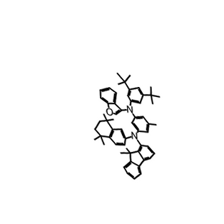 Cc1cc(N(c2ccc3c(c2)C(C)(C)CCC3(C)C)c2cccc3c2C(C)(C)c2ccccc2-3)cc(N(c2cc(C(C)(C)C)cc(C(C)(C)C)c2)c2coc3ccccc23)c1